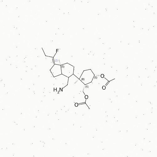 CC/C(F)=C1\CCC2C(CN)C([C@@]3(C)CC[C@H](OC(C)=O)C[C@@H]3COC(C)=O)CC[C@]12C